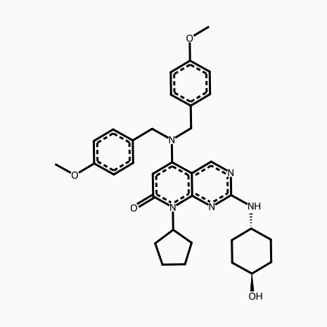 COc1ccc(CN(Cc2ccc(OC)cc2)c2cc(=O)n(C3CCCC3)c3nc(N[C@H]4CC[C@H](O)CC4)ncc23)cc1